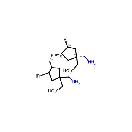 CC(C)C1CC(CN)(CC(=O)O)CC1C(C)C.CC[C@@H]1C[C@](CN)(CC(=O)O)C[C@@H]1CC